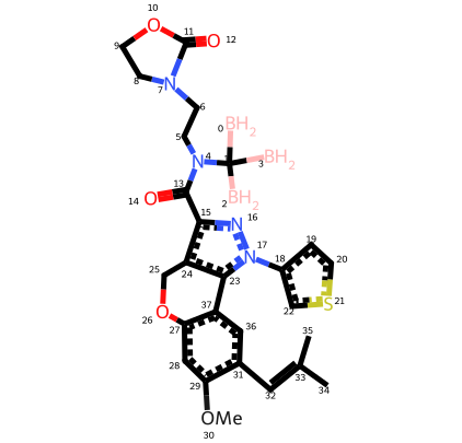 BC(B)(B)N(CCN1CCOC1=O)C(=O)c1nn(-c2ccsc2)c2c1COc1cc(OC)c(C=C(C)C)cc1-2